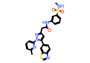 CNS(=O)(=O)c1cccc(NC(=O)Cc2cc(-c3ccc4ncsc4c3)n(-c3cccc(C)n3)n2)c1